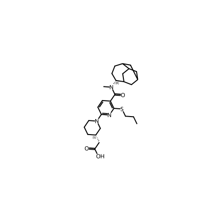 CCCSc1nc(N2CCC[C@@H](CC(=O)O)C2)ccc1C(=O)N(C)[C@@H]1CCC2CC3CC2CC1C3